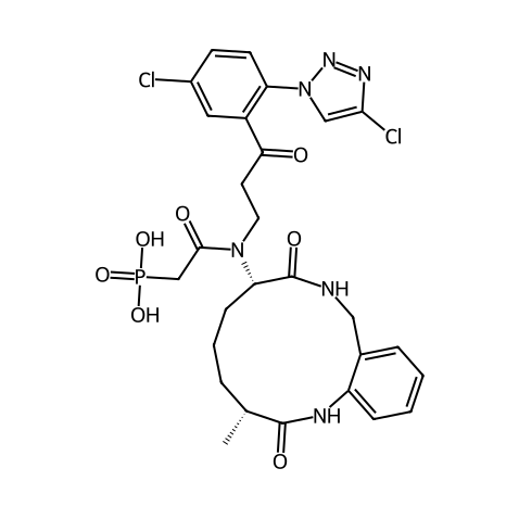 C[C@@H]1CCC[C@H](N(CCC(=O)c2cc(Cl)ccc2-n2cc(Cl)nn2)C(=O)CP(=O)(O)O)C(=O)NCc2ccccc2NC1=O